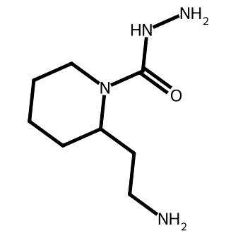 NCCC1CCCCN1C(=O)NN